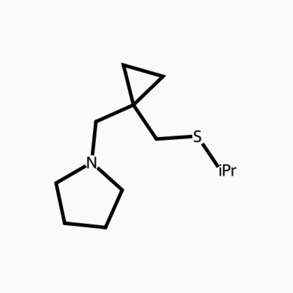 CC(C)SCC1(CN2CCCC2)CC1